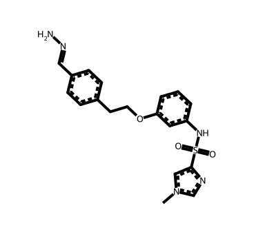 Cn1cnc(S(=O)(=O)Nc2cccc(OCCc3ccc(C=NN)cc3)c2)c1